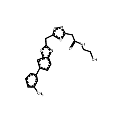 Cc1cccc(-c2ccc3nc(Cc4nnc(CC(=O)NCCO)o4)sc3c2)c1